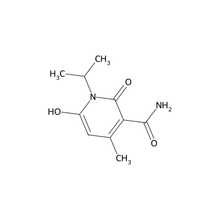 Cc1cc(O)n(C(C)C)c(=O)c1C(N)=O